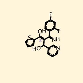 N=C(/C(=C(\O)c1cccs1)C(O)c1cccnc1)c1ccc(F)cc1F